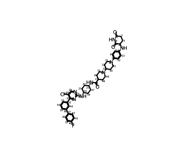 O=C1CCC(Nc2ccc(N3CCC(N4CCC(C(=O)N[C@H]5CC[C@H](Nc6ncc(Cl)c(-c7cccc(-c8ccc(F)cc8)c7)n6)CC5)CC4)CC3)cc2)C(=O)N1